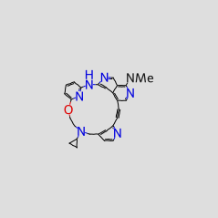 CNc1ncc2c3cc(ncc13)Nc1cccc(n1)OCCN(C1CC1)Cc1ccnc(c1)C#C2